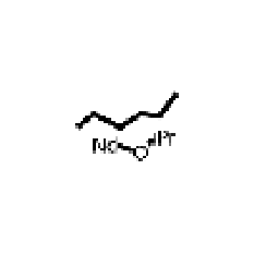 CC(C)[O][Nd].CCCCCC